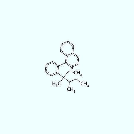 CCC(C)C(C)(CC)c1ccccc1-c1nccc2ccccc12